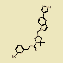 CC1(C)CC(Cn2ccc3nc(-c4cn[nH]c4)ccc32)CN1C(=O)CCc1cccc(C#N)c1